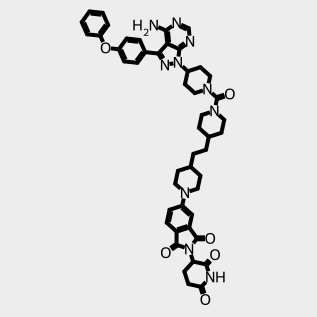 Nc1ncnc2c1c(-c1ccc(Oc3ccccc3)cc1)nn2C1CCN(C(=O)N2CCC(CCC3CCN(c4ccc5c(c4)C(=O)N(C4CCC(=O)NC4=O)C5=O)CC3)CC2)CC1